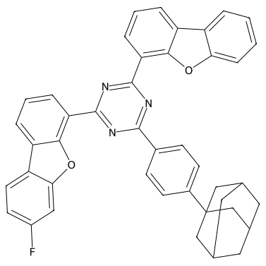 Fc1ccc2c(c1)oc1c(-c3nc(-c4ccc(C56CC7CC(CC(C7)C5)C6)cc4)nc(-c4cccc5c4oc4ccccc45)n3)cccc12